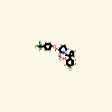 OC[C@@H]1[C@H](COc2ccc(C(F)(F)F)cc2)CCCN1CC1(c2ccc(Cl)cc2)CCC1